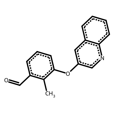 Cc1c(C=O)cccc1Oc1cnc2ccccc2c1